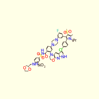 Cc1c(S(C)(=O)=O)c(-c2cc(F)cc(N3CCN(c4ccc(C(=O)NS(=O)(=O)c5ccc(NC[C@@H]6COCCO6)c([N+](=O)[O-])c5)c(N5CCOc6nc7[nH]ccc7cc65)c4)CC3)c2)c(-c2ccc(Cl)cc2)n1C(C)C